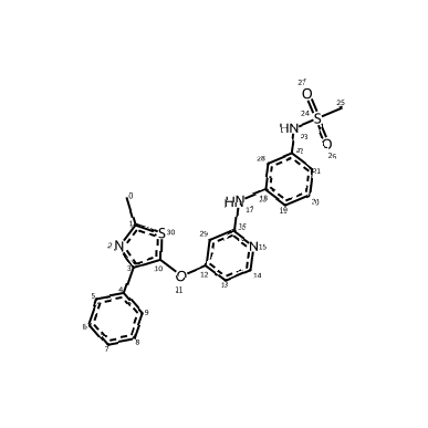 Cc1nc(-c2ccccc2)c(Oc2ccnc(Nc3cccc(NS(C)(=O)=O)c3)c2)s1